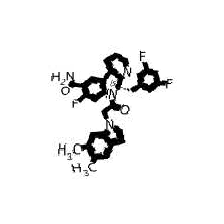 Cc1cc2ccn(CC(=O)N[C@@H](Cc3cc(F)cc(F)c3)c3ncccc3-c3ccc(F)c(C(N)=O)c3)c2cc1C